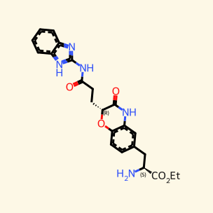 CCOC(=O)[C@@H](N)Cc1ccc2c(c1)NC(=O)[C@@H](CCC(=O)Nc1nc3ccccc3[nH]1)O2